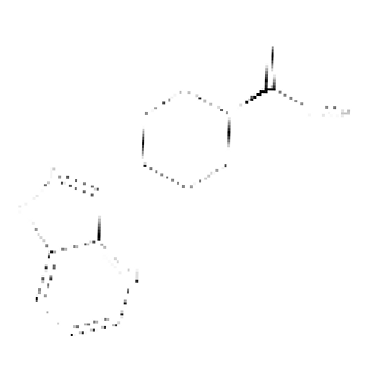 COC(=O)[C@H]1CC[C@H](c2noc3cccnc32)CC1